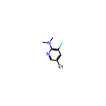 CCc1cnc(N(C)C)c(F)c1